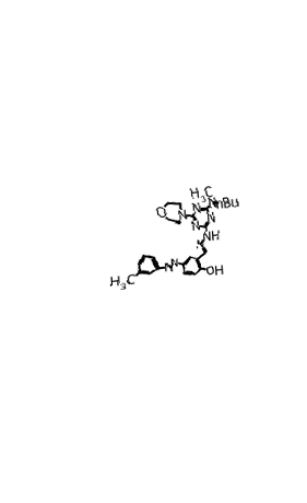 CCCCN(C)c1nc(N/N=C/c2cc(/N=N/c3cccc(C)c3)ccc2O)nc(N2CCOCC2)n1